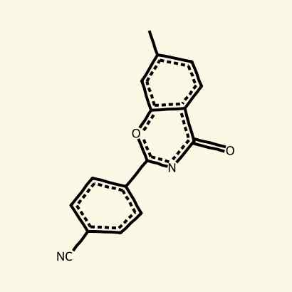 Cc1ccc2c(=O)nc(-c3ccc(C#N)cc3)oc2c1